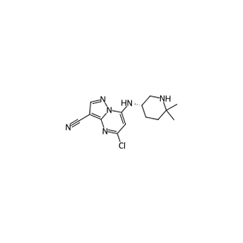 CC1(C)CC[C@H](Nc2cc(Cl)nc3c(C#N)cnn23)CN1